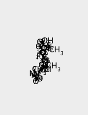 Cc1ncc([N+](=O)[O-])n1CCOC(=O)C(C)(Cl)N1CCN(c2cc3c(cc2F)c(=O)c(C(=O)O)c2n3C(C)S2)CC1